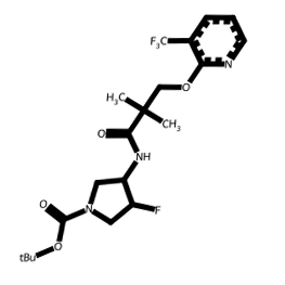 CC(C)(C)OC(=O)N1CC(F)C(NC(=O)C(C)(C)COc2ncccc2C(F)(F)F)C1